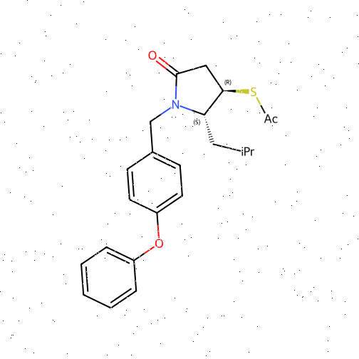 CC(=O)S[C@@H]1CC(=O)N(Cc2ccc(Oc3ccccc3)cc2)[C@H]1CC(C)C